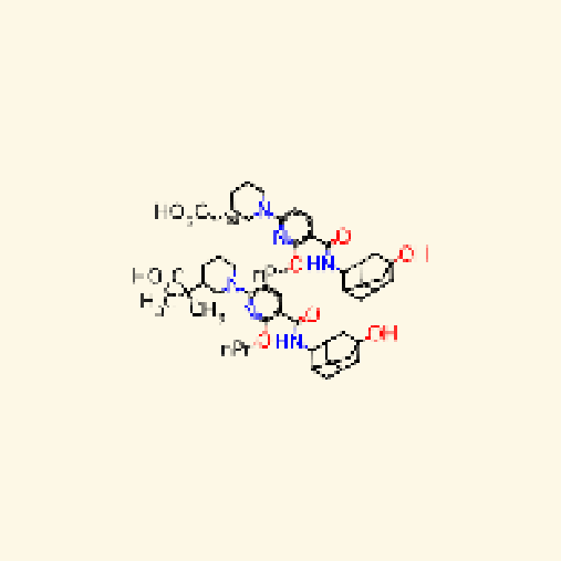 CCCOc1nc(N2CCCC(C(C)(C)C(=O)O)C2)ccc1C(=O)NC1C2CC3CC1CC(O)(C3)C2.CCCOc1nc(N2CCC[C@@H](CC(=O)O)C2)ccc1C(=O)NC1C2CC3CC1CC(O)(C3)C2